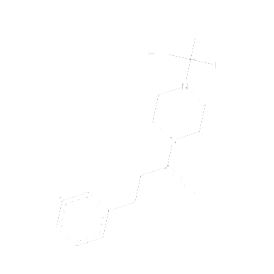 CCC(C)(C)N1CCN(C(=O)CCc2ccccc2)CC1